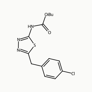 CC(C)COC(=O)Nc1nnc(Cc2ccc(Cl)cc2)s1